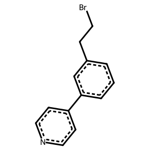 BrCCc1cccc(-c2ccncc2)c1